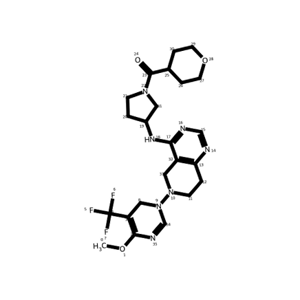 COC1=C(C(F)(F)F)CN(N2CCc3ncnc(NC4CCN(C(=O)C5CCOCC5)C4)c3C2)C=N1